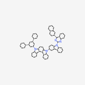 c1ccc(-c2cc(-c3ccccc3)cc(-n3c4ccccc4c4c5c6ccccc6n(-c6ccc7c(c6)c6ccccc6n7-c6nc(-c7ccc8ccccc8c7)c7ccccc7n6)c5ccc43)c2)cc1